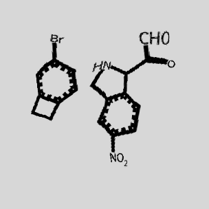 Brc1ccc2c(c1)CC2.O=CC(=O)C1NCc2cc([N+](=O)[O-])ccc21